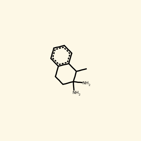 CC1c2ccccc2CCC1(N)N